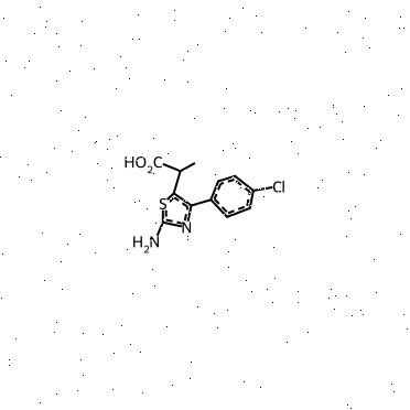 CC(C(=O)O)c1sc(N)nc1-c1ccc(Cl)cc1